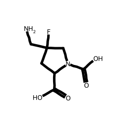 NCC1(F)CC(C(=O)O)N(C(=O)O)C1